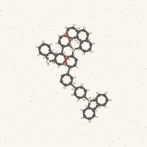 c1cc(-c2ccc(N(c3ccccc3-c3cccc4oc5ccccc5c34)c3cccc4ccc5ccccc5c34)cc2)cc(-c2ccc(-n3c4ccccc4c4ccccc43)cc2)c1